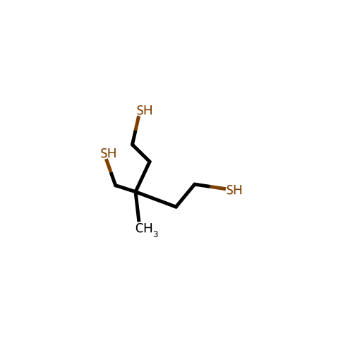 CC(CS)(CCS)CCS